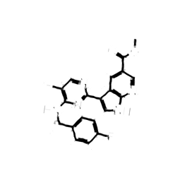 COC(=O)c1cnc2[nH]cc(-c3ncc(F)c(N[C@@H](C)c4ccc(F)cc4)n3)c2c1